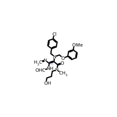 C=N/C(NC=O)=C(/C(=O)N(C)CCCO)N(COc1cccc(OC)c1)Cc1ccc(Cl)cc1